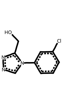 OCc1nncn1-c1cccc(Cl)c1